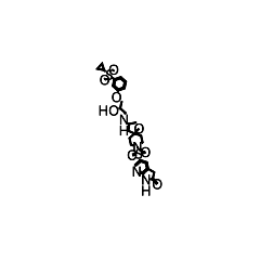 O=C1Cc2cc(S(=O)(=O)N3CCC4(CC3)CC(NCC(O)COc3cccc(S(=O)(=O)C5CC5)c3)CO4)cnc2N1